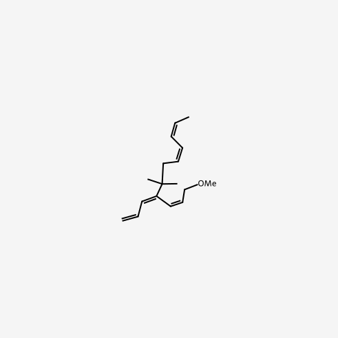 C=C/C=C(\C=C/COC)C(C)(C)C/C=C\C=C/C